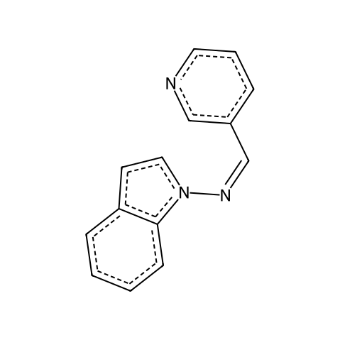 C(=N/n1ccc2ccccc21)/c1cccnc1